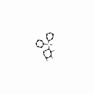 CCOC(=O)[P+](c1ccccc1)(c1ccccc1)c1ccc(C(C)C)[c]([Na])c1S(=O)(=O)O.[Cl-]